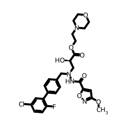 COc1cc(C(=O)NN(Cc2ccc(-c3cc(Cl)ccc3F)cc2)C[C@@H](O)C(=O)OCCN2CCOCC2)on1